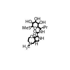 CSC1O[C@H]([C@H](NC(=O)[C@H]2NC[C@@H]3CN(C)CCO[C@H]32)C(C)C)C(O)C(O)[C@H]1O